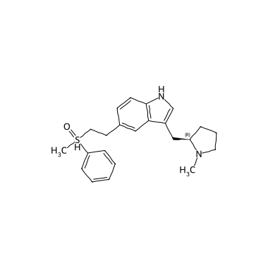 CN1CCC[C@@H]1Cc1c[nH]c2ccc(CC[SH](C)(=O)c3ccccc3)cc12